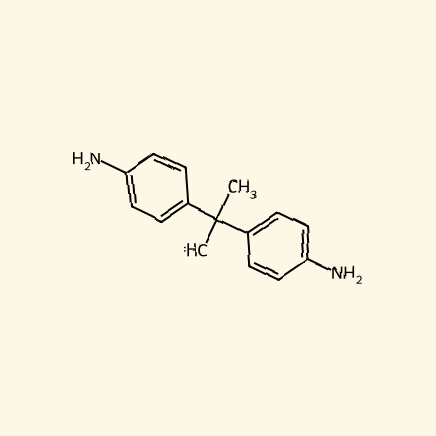 [CH]C(C)(c1ccc(N)cc1)c1ccc(N)cc1